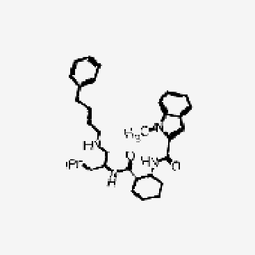 CC(C)CC(CNCCCCc1ccccc1)NC(=O)[C@@H]1CCCC[C@@H]1NC(=O)c1cc2ccccc2n1C